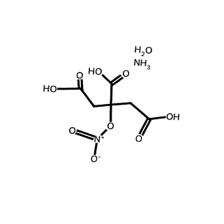 N.O.O=C(O)CC(CC(=O)O)(O[N+](=O)[O-])C(=O)O